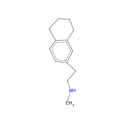 CNCCc1ccc2c(c1)CCCC2